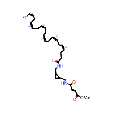 CC/C=C\C/C=C\C/C=C\C/C=C\C/C=C\C/C=C\CCC(=O)NCC1CC1CNC(=O)C=CC(=O)OC